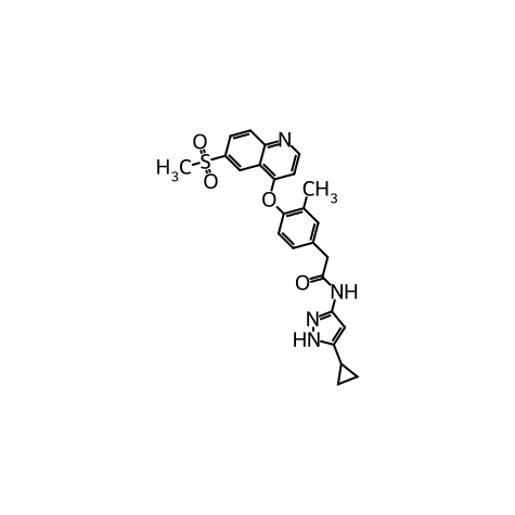 Cc1cc(CC(=O)Nc2cc(C3CC3)[nH]n2)ccc1Oc1ccnc2ccc(S(C)(=O)=O)cc12